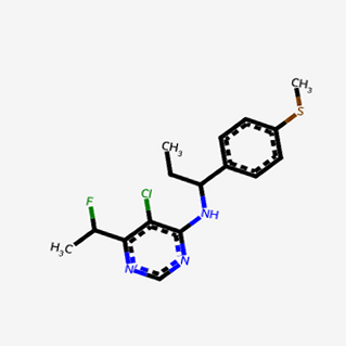 CCC(Nc1ncnc(C(C)F)c1Cl)c1ccc(SC)cc1